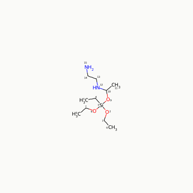 CCO[Si](CC)(OCC)OC(C)NCCN